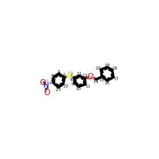 O=[N+]([O-])c1ccc(Sc2cccc(OCc3ccccc3)c2)cc1